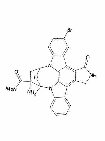 CNC(=O)[C@@]1(N)CC2OC1(C)n1c3ccccc3c3c4c(c5c6cc(Br)ccc6n2c5c31)C(=O)NC4